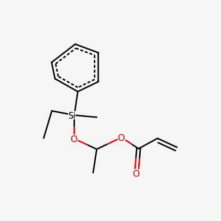 C=CC(=O)OC(C)O[Si](C)(CC)c1ccccc1